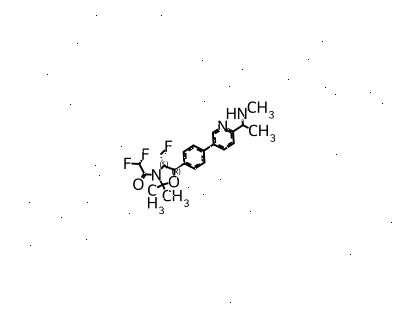 CNC(C)c1ccc(-c2ccc([C@H]3OC(C)(C)N(C(=O)C(F)F)[C@@H]3CF)cc2)cn1